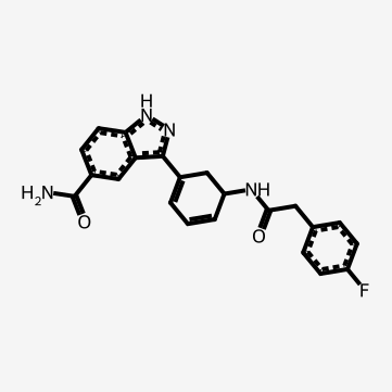 NC(=O)c1ccc2[nH]nc(C3=CC=CC(NC(=O)Cc4ccc(F)cc4)C3)c2c1